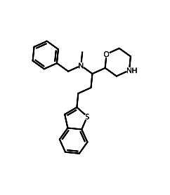 CN(Cc1ccccc1)C(CCc1cc2ccccc2s1)C1CNCCO1